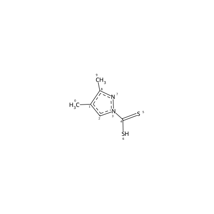 Cc1cn(C(=S)S)nc1C